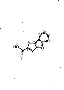 O=C(O)C1=Cc2oc3ccccc3c2C1